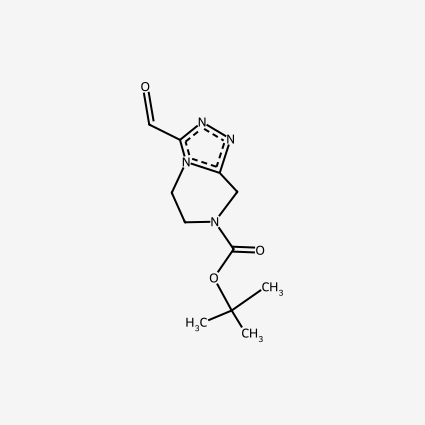 CC(C)(C)OC(=O)N1CCn2c(C=O)nnc2C1